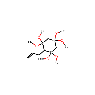 C=CCC1[Si](OCC)(OCC)C[Si](OCC)(OCC)C[Si]1(OCC)OCC